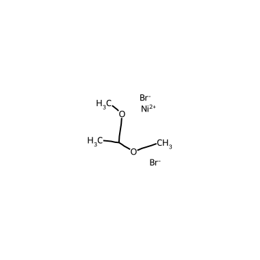 COC(C)OC.[Br-].[Br-].[Ni+2]